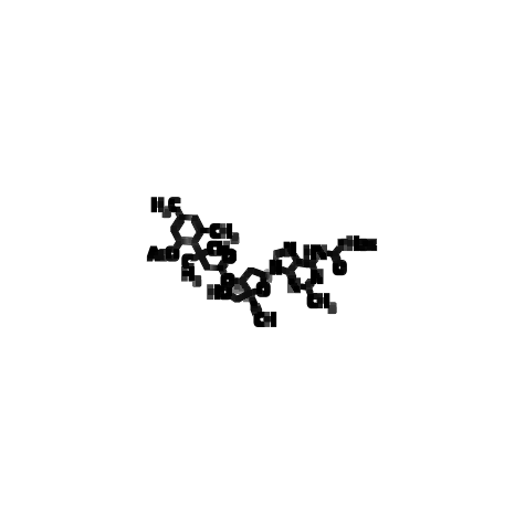 C#C[C@]1(CO)O[C@@H](n2cnc3c(NC(=O)CCCCCC)nc(C)nc32)C[C@@H]1OC(=O)CC(C)(C)c1c(C)cc(C)cc1OC(C)=O